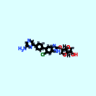 Nc1cncc(-c2ccc(-c3cc4nc(O[C@@H]5CO[C@H]6[C@@H]5OC[C@H]6O)[nH]c4cc3Cl)cc2)n1